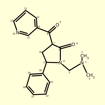 CN(C)CN1C(=O)C(C(=O)c2cccnc2)CC1c1ccccc1